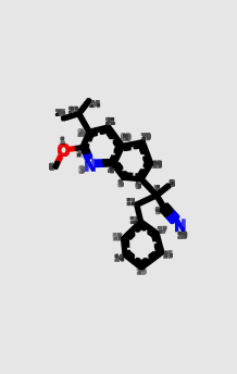 COc1nc2cc(C(C)(C#N)Cc3ccccc3)ccc2cc1C(C)C